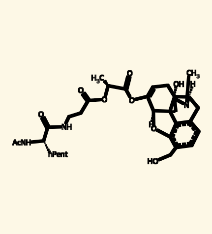 CCCCC[C@H](NC(C)=O)C(=O)NCCC(=O)O[C@@H](C)C(=O)OC1=CC[C@@]2(O)[C@H]3Cc4ccc(CO)c5c4[C@@]2(CCN3C)[C@H]1O5